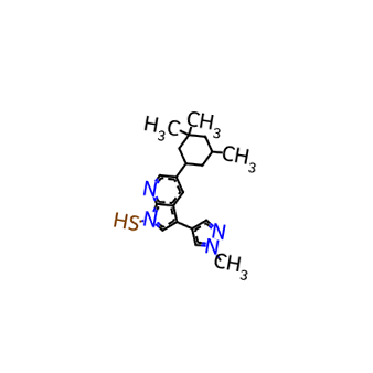 CC1CC(c2cnc3c(c2)c(-c2cnn(C)c2)cn3S)CC(C)(C)C1